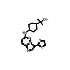 CC(C)(O)C1CCC(Nc2ccc3ncc(-c4nccs4)n3n2)CC1